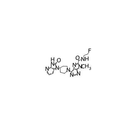 Cn1c(C(=O)NCCF)nc2c(N3CCC(n4c(=O)[nH]c5ncccc54)CC3)ncnc21